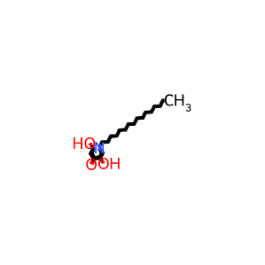 CCCCCCCCCCCCCCCCn1cc(O)c(=O)cc1O